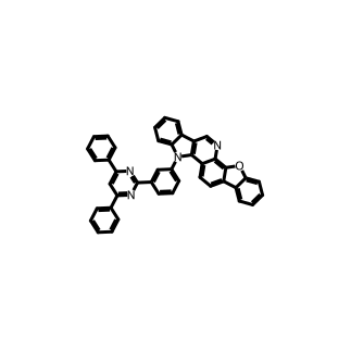 c1ccc(-c2cc(-c3ccccc3)nc(-c3cccc(-n4c5ccccc5c5cnc6c(ccc7c8ccccc8oc76)c54)c3)n2)cc1